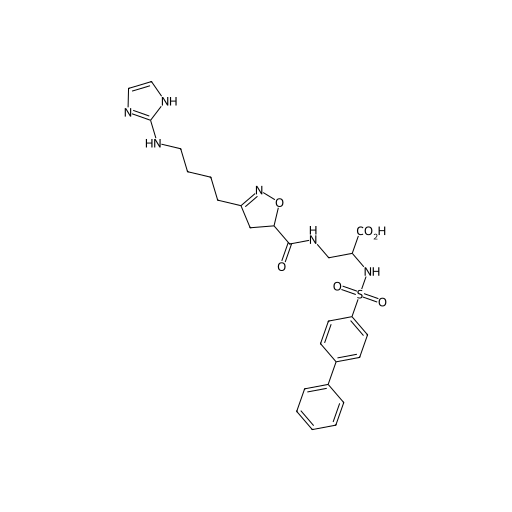 O=C(O)C(CNC(=O)C1CC(CCCCNc2ncc[nH]2)=NO1)NS(=O)(=O)c1ccc(-c2ccccc2)cc1